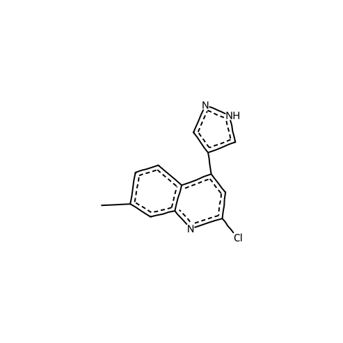 Cc1ccc2c(-c3cn[nH]c3)cc(Cl)nc2c1